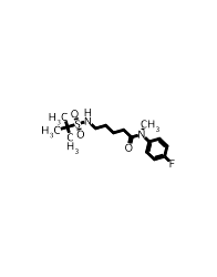 CN(C(=O)CCCCNS(=O)(=O)C(C)(C)C)c1ccc(F)cc1